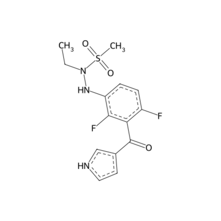 CCN(Nc1ccc(F)c(C(=O)c2cc[nH]c2)c1F)S(C)(=O)=O